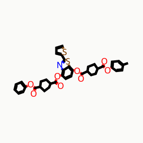 Cc1ccc(OC(=O)C2CCC(C(=O)Oc3ccc(OC(=O)C4CCC(C(=O)Oc5ccccc5)CC4)c4nc(-c5cccs5)sc34)CC2)cc1